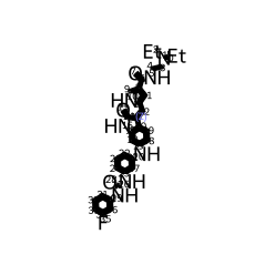 CCN(CC)CCNC(=O)c1c[nH]c(/C=C2\C(=O)Nc3cc(Nc4cccc(NC(=O)Nc5cccc(F)c5)c4)ccc32)c1